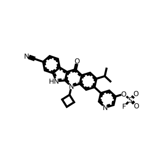 CC(C)c1cc2c(=O)c3c4ccc(C#N)cc4[nH]c3n(C3CCC3)c2cc1-c1cncc(OS(=O)(=O)F)c1